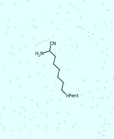 CCCCCCCCCCCC(N)C#N